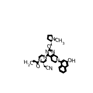 C=CC(=O)N1CCN(c2nc(OC[C@@H]3CCCN3C)nc3c2CCN(c2cc(O)cc4ccccc24)C3)C[C@@H]1CC#N